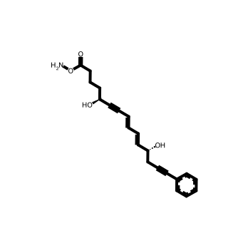 NOC(=O)CCC[C@H](O)C#C/C=C/C=C/[C@H](O)CC#Cc1ccccc1